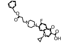 O=C(CCN1CCN(c2cc3c(cc2F)c(=O)c(C(=O)O)cn3C2CC2)CC1)OCc1ccccc1